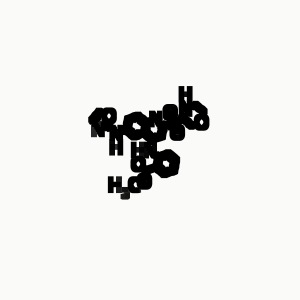 COC(=O)c1ccccc1Nc1cc(S(=O)(=O)C2COCCN2)nc2ccc(Nc3ncco3)cc12